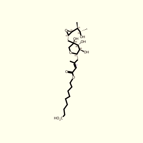 C/C(=C\C(=O)OCCCCCCCCC(=O)O)C[C@@H]1OC[C@](O)(C[C@@H]2O[C@H]2[C@@H](C)[C@H](C)O)[C@H](O)[C@H]1O